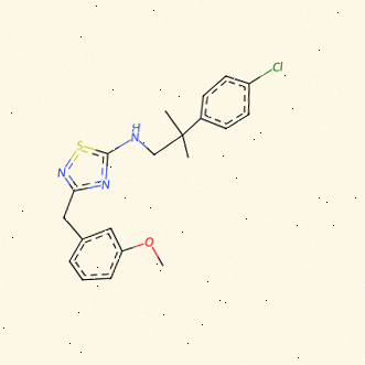 COc1cccc(Cc2nsc(NCC(C)(C)c3ccc(Cl)cc3)n2)c1